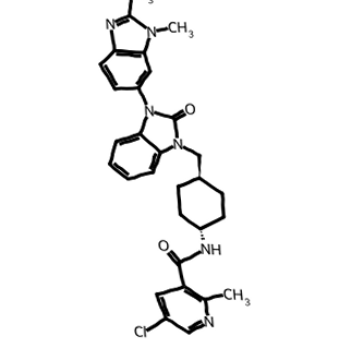 Cc1ncc(Cl)cc1C(=O)N[C@H]1CC[C@H](Cn2c(=O)n(-c3ccc4nc(C)n(C)c4c3)c3ccccc32)CC1